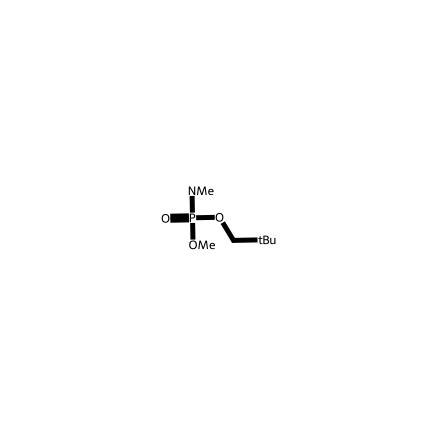 CNP(=O)(OC)OCC(C)(C)C